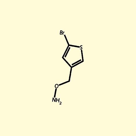 NOCc1csc(Br)c1